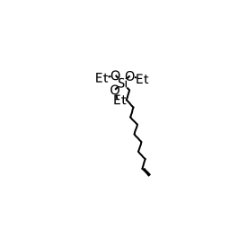 C=CCCCCCCCCC[Si](OCC)(OCC)OCC